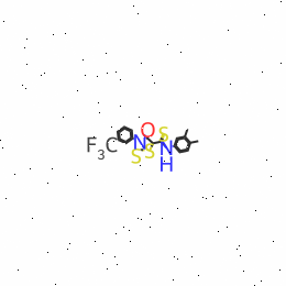 Cc1ccc(NC(=S)C2SC(=S)N(c3cccc(C(F)(F)F)c3)C2=O)cc1C